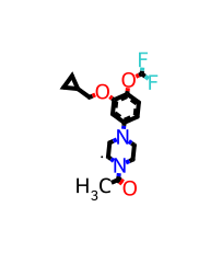 CC(=O)N1[CH]CN(c2ccc(OC(F)F)c(OCC3CC3)c2)CC1